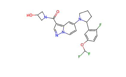 O=C(c1cnn2ccc(N3CCCC3c3cc(OC(F)F)ccc3F)cc12)N1CC(O)C1